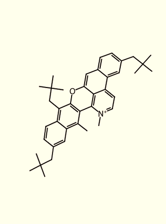 Cc1c2c(c(CC(C)(C)C)c3ccc(CC(C)(C)C)cc13)Oc1cc3ccc(CC(C)(C)C)cc3c3cc[n+](C)c-2c13